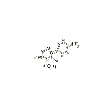 Cc1c(C(=O)O)c(=O)cnn1-c1ccc(C(F)(F)F)cc1